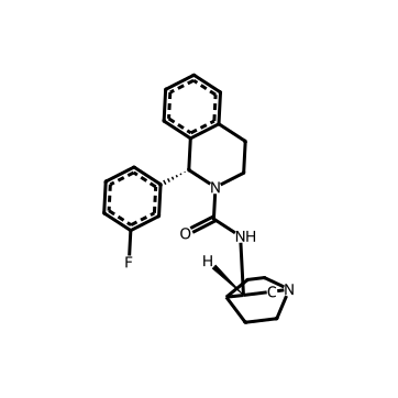 O=C(N[C@@H]1CN2CCC1CC2)N1CCc2ccccc2[C@H]1c1cccc(F)c1